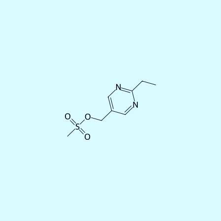 CCc1ncc(COS(C)(=O)=O)cn1